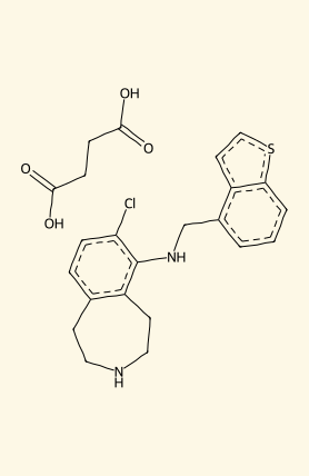 Clc1ccc2c(c1NCc1cccc3sccc13)CCNCC2.O=C(O)CCC(=O)O